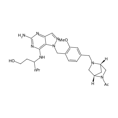 CCCC(CCO)Nc1nc(N)nc2cnn(Cc3ccc(CN4C[C@@H]5C[C@H]4CN5C(C)=O)cc3OC)c12